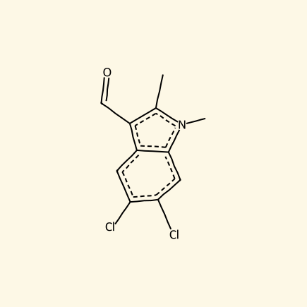 Cc1c(C=O)c2cc(Cl)c(Cl)cc2n1C